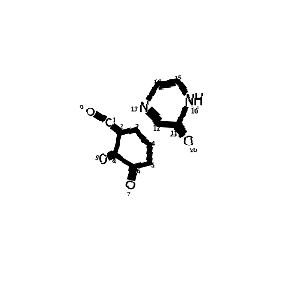 O=C=C1CCCC(=O)C1=O.O=c1cncc[nH]1